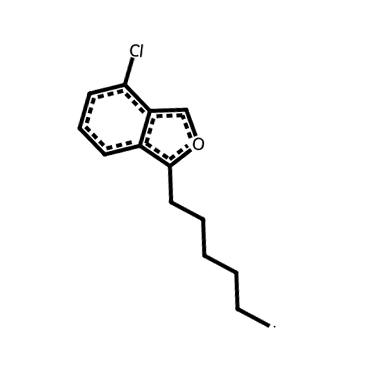 [CH2]CCCCCc1occ2c(Cl)cccc12